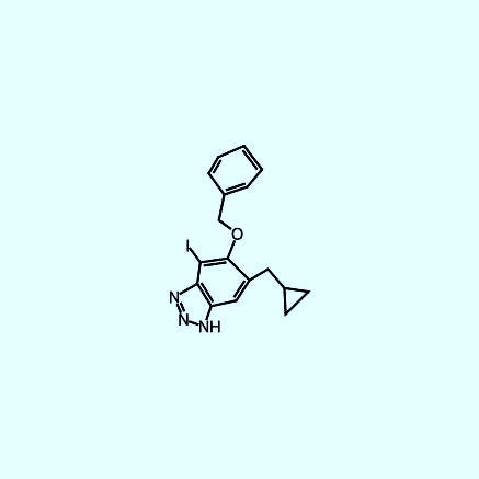 Ic1c(OCc2ccccc2)c(CC2CC2)cc2[nH]nnc12